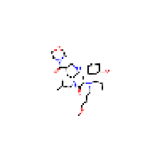 CCC([C@@H]1CC=CC=C1OC)N(CCCCOC)C(C)C(=O)N(CC(C)C)[C@@H]1CNC[C@H](C(=O)N2CCOCC2)C1